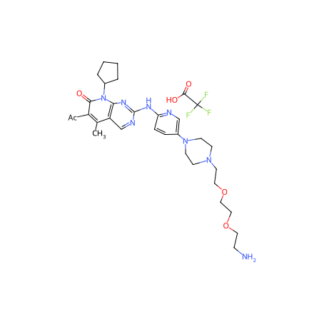 CC(=O)c1c(C)c2cnc(Nc3ccc(N4CCN(CCOCCOCCN)CC4)cn3)nc2n(C2CCCC2)c1=O.O=C(O)C(F)(F)F